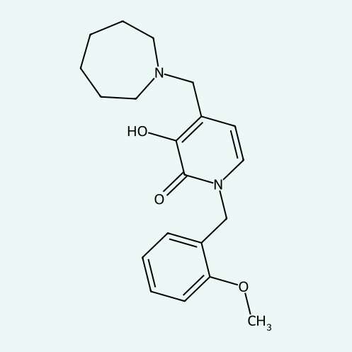 COc1ccccc1Cn1ccc(CN2CCCCCC2)c(O)c1=O